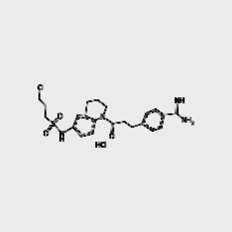 Cl.N=C(N)c1ccc(CCC(=O)N2CCCc3cc(NS(=O)(=O)CCCCl)ccc32)cc1